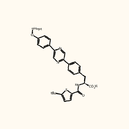 CCCCCCCOc1ccc(-c2cnc(-c3ccc(C[C@H](NC(=O)c4ccc(C(C)(C)C)s4)C(=O)O)cc3)cn2)cc1